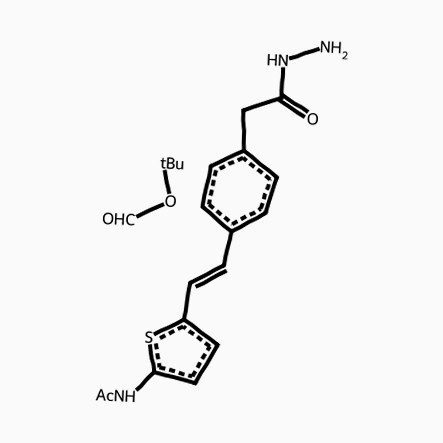 CC(=O)Nc1ccc(C=Cc2ccc(CC(=O)NN)cc2)s1.CC(C)(C)OC=O